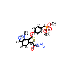 CCOP(=O)(Cc1ccc(Oc2sc(C(N)=O)c3c2-c2c(cnn2CC)CC3)cc1)OCC